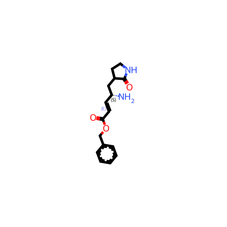 N[C@H](/C=C/C(=O)OCc1ccccc1)CC1CCNC1=O